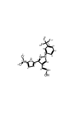 O=[N+]([O-])c1ccc(-c2nn(-c3cccc(C(F)(F)F)c3)cc2C=NO)o1